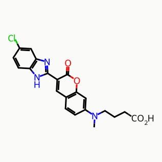 CN(CCCC(=O)O)c1ccc2cc(-c3nc4cc(Cl)ccc4[nH]3)c(=O)oc2c1